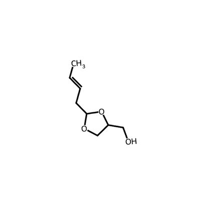 CC=CCC1OCC(CO)O1